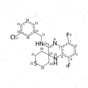 Fc1ccc(F)c2c1N=C(NCc1cccc(Cl)c1)C1(CCSCC1)N2